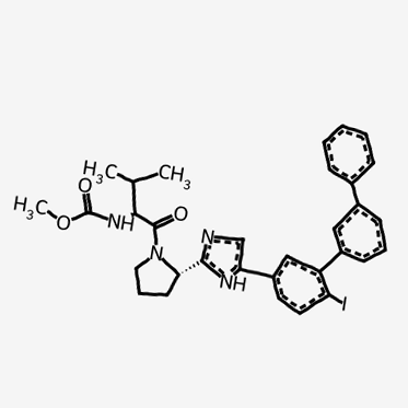 COC(=O)N[C@H](C(=O)N1CCC[C@H]1c1ncc(-c2ccc(I)c(-c3cccc(-c4ccccc4)c3)c2)[nH]1)C(C)C